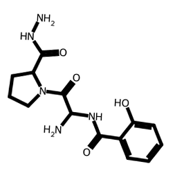 NNC(=O)C1CCCN1C(=O)C(N)NC(=O)c1ccccc1O